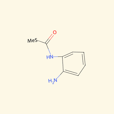 CSC(=O)Nc1ccccc1N